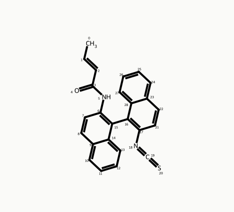 C/C=C/C(=O)Nc1ccc2ccccc2c1-c1c(N=C=S)ccc2ccccc12